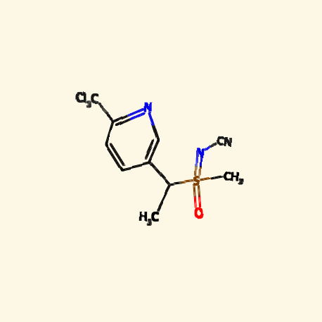 CC(c1ccc(C(Cl)(Cl)Cl)nc1)S(C)(=O)=NC#N